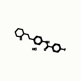 Cl.O=C(Nc1ccc(CCC2CCCCN2)cc1)c1ccc(F)cc1